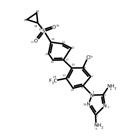 Nc1nc(N)n(-c2cc(Cl)c(-c3ccc(S(=O)(=O)C4CC4)cc3)c(C(F)(F)F)c2)n1